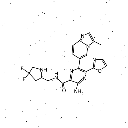 Cc1cnc2ccc(-c3nc(C(=O)NCC4CC(F)(F)CN4)c(N)nc3-c3ncco3)cn12